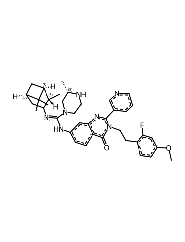 COc1ccc(CCn2c(-c3cccnc3)nc3cc(N/C(=N/C4C[C@H]5C[C@@H]([C@@H]4C)C5(C)C)N4CCN[C@@H](C)C4)ccc3c2=O)c(F)c1